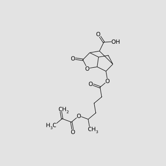 C=C(C)C(=O)OC(C)CCCC(=O)OC1C2CC3C1OC(=O)C3C2C(=O)O